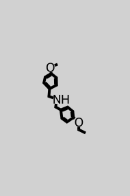 CCOc1ccc(CNCc2ccc(OC)cc2)cc1